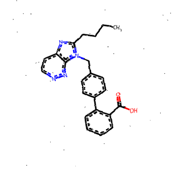 CCCCc1nc2ccnnc2n1Cc1ccc(-c2ccccc2C(=O)O)cc1